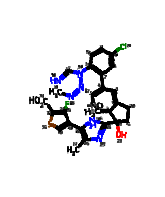 C=C1/C(=C\C(=C/N=O)c2cc(Cl)ccc2N(C=N)/N=N\C)CCC1(O)c1nc(C)c(-c2csc(C(=O)O)c2F)[nH]1